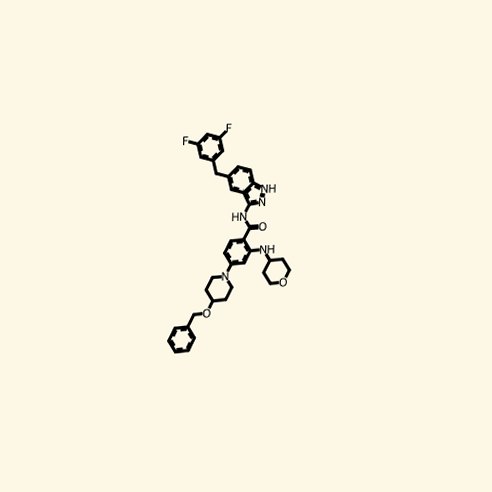 O=C(Nc1n[nH]c2ccc(Cc3cc(F)cc(F)c3)cc12)c1ccc(N2CCC(OCc3ccccc3)CC2)cc1NC1CCOCC1